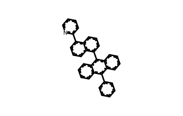 c1ccc(-c2c3ccccc3c(-c3cccc4c(-c5ccccn5)cccc34)c3ccccc23)cc1